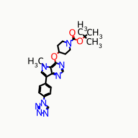 Cn1cc(-c2ccc(-n3cnnn3)cc2)c2ncnc(OC3CCN(C(=O)OC(C)(C)C)CC3)c21